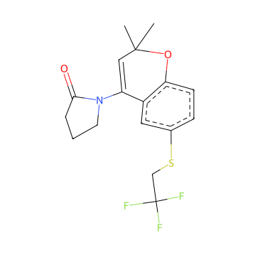 CC1(C)C=C(N2CCCC2=O)c2cc(SCC(F)(F)F)ccc2O1